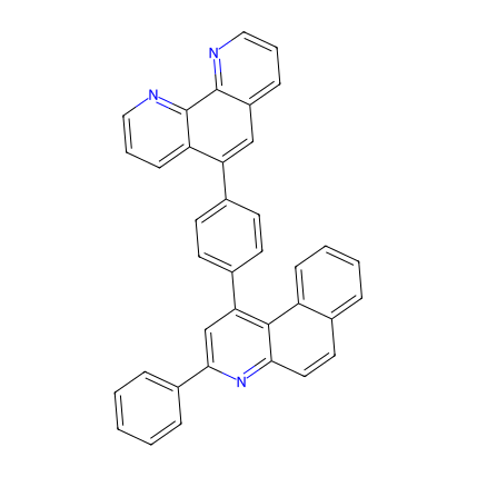 c1ccc(-c2cc(-c3ccc(-c4cc5cccnc5c5ncccc45)cc3)c3c(ccc4ccccc43)n2)cc1